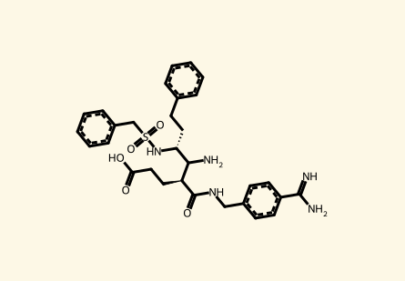 N=C(N)c1ccc(CNC(=O)[C@@H](CCC(=O)O)C(N)[C@@H](CCc2ccccc2)NS(=O)(=O)Cc2ccccc2)cc1